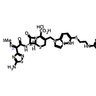 CO/N=C(\C(=O)N[C@@H]1C(=O)N2C(C(=O)O)=C(CN3C=CN4NC(SCCNC(C)=N)=CC=C34)CS[C@@H]12)c1nsc(N)n1.Cl